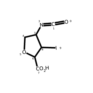 O=C=NC1COC(C(=O)O)C1I